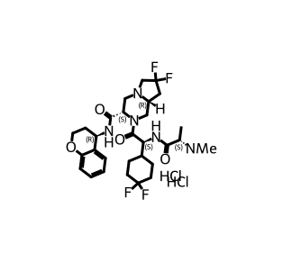 CN[C@@H](C)C(=O)N[C@H](C(=O)N1C[C@H]2CC(F)(F)CN2C[C@H]1C(=O)N[C@@H]1CCOc2ccccc21)C1CCC(F)(F)CC1.Cl.Cl